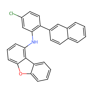 Clc1ccc(-c2ccc3ccccc3c2)c(Nc2cccc3oc4ccccc4c23)c1